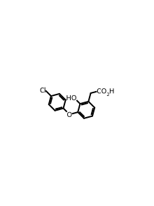 O=C(O)Cc1cccc(Oc2ccc(Cl)cc2)c1O